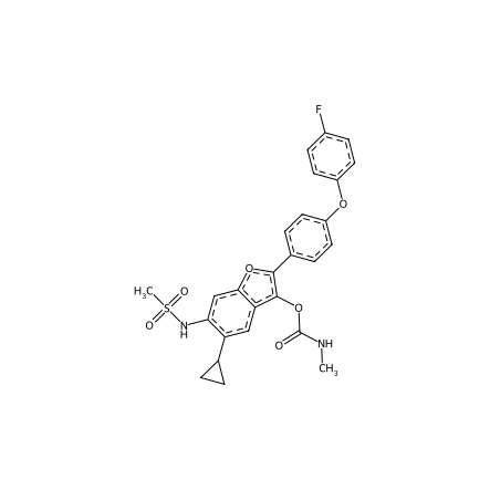 CNC(=O)Oc1c(-c2ccc(Oc3ccc(F)cc3)cc2)oc2cc(NS(C)(=O)=O)c(C3CC3)cc12